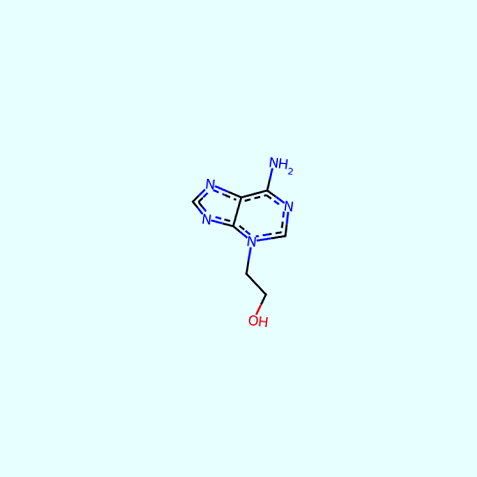 Nc1ncn(CCO)c2ncnc1-2